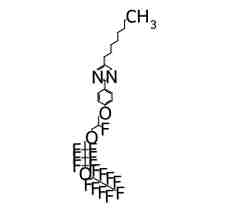 CCCCCCCCc1cnc(-c2ccc(OCC(F)COCC(F)(F)C(F)(F)C(F)(F)OC(F)(F)C(F)(F)C(F)(F)C(F)(F)F)cc2)nc1